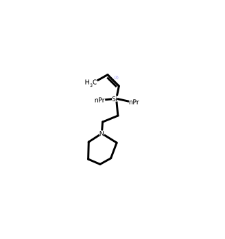 C/C=C\[Si](CCC)(CCC)CCN1CCCCC1